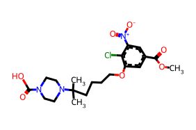 COC(=O)c1cc(OCCCCC(C)(C)N2CCN(C(=O)O)CC2)c(Cl)c([N+](=O)[O-])c1